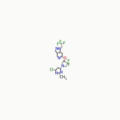 Cc1nc(Cl)cc(N2C[C@H](Oc3cc4c(cn3)cnn4CC(F)(F)F)C(F)(F)C2)n1